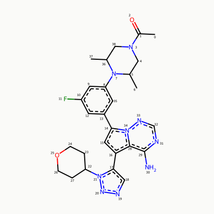 CC(=O)N1CC(C)N(c2cc(F)cc(-c3cc(-c4cnnn4C4CCOCC4)c4c(N)ncnn34)c2)C(C)C1